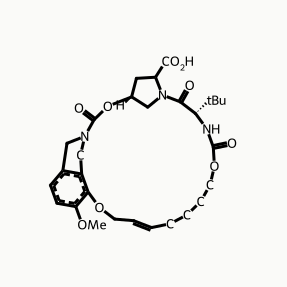 COc1ccc2c3c1OC/C=C/CCCCOC(=O)N[C@@H](C(C)(C)C)C(=O)N1C[C@@H](CC1C(=O)O)OC(=O)N(C2)C3